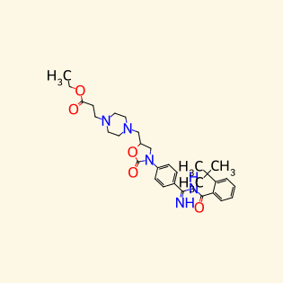 CCOC(=O)CCN1CCN(CC2CN(c3ccc(C(=N)NC(=O)c4ccccc4C(C)(C)C)cc3)C(=O)O2)CC1